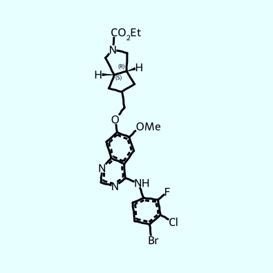 CCOC(=O)N1C[C@H]2CC(COc3cc4ncnc(Nc5ccc(Br)c(Cl)c5F)c4cc3OC)C[C@H]2C1